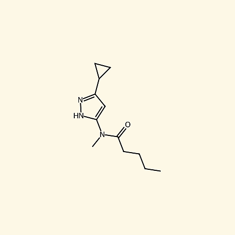 CCCCC(=O)N(C)c1cc(C2CC2)n[nH]1